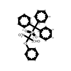 O=[C]C(Oc1ccccc1)([N+](=O)[O-])S(=O)(=O)C(c1ccccc1)(c1ccccc1)c1ccccc1